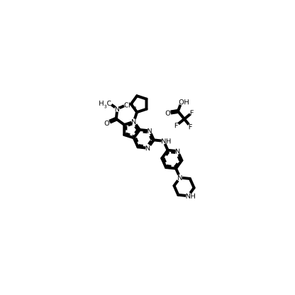 CN(C)C(=O)c1cc2cnc(Nc3ccc(N4CCNCC4)cn3)nc2n1C1CCCC1.O=C(O)C(F)(F)F